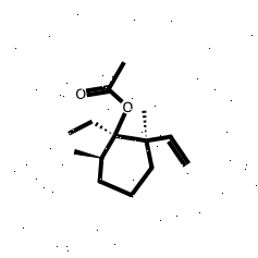 C=C[C@@]1(C)CCC[C@@H](C)[C@@]1(CC)OC(C)=O